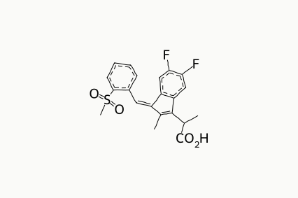 CC1=C(C(C)C(=O)O)c2cc(F)c(F)cc2/C1=C\c1ccccc1S(C)(=O)=O